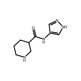 O=C(Nc1cn[nH]c1)C1CCCNC1